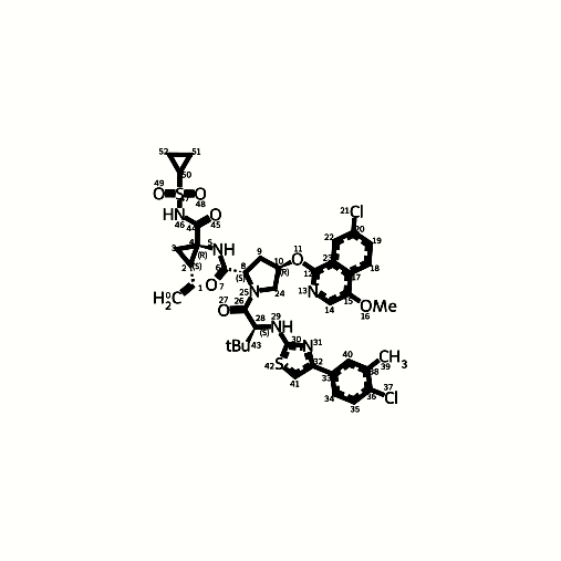 C=C[C@@H]1C[C@]1(NC(=O)[C@@H]1C[C@@H](Oc2ncc(OC)c3ccc(Cl)cc23)CN1C(=O)[C@@H](Nc1nc(-c2ccc(Cl)c(C)c2)cs1)C(C)(C)C)C(=O)NS(=O)(=O)C1CC1